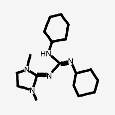 CN1CCN(C)C1=N/C(=N\C1CCCCC1)NC1CCCCC1